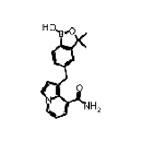 CC1(C)OB(O)c2ccc(Cc3ccn4cccc(C(N)=O)c34)cc21